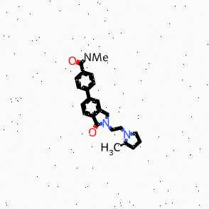 CNC(=O)c1ccc(-c2ccc3c(c2)CN(CCN2CCC[C@H]2C)C3=O)cc1